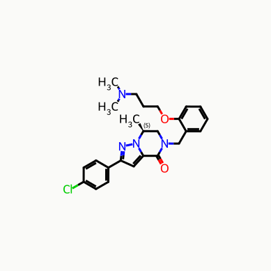 C[C@H]1CN(Cc2ccccc2OCCCN(C)C)C(=O)c2cc(-c3ccc(Cl)cc3)nn21